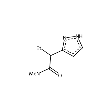 CCC(C(=O)NC)c1cc[nH]n1